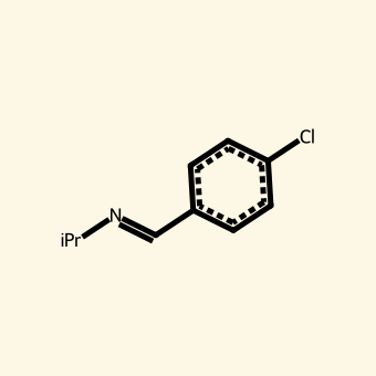 CC(C)/N=C/c1ccc(Cl)cc1